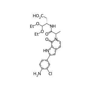 CCOC(OCC)[C@H](CC(=O)O)NC(=O)C(C)n1ccc2cc(-c3ccc(N)c(Cl)c3)[nH]c2c1=O